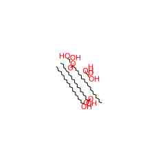 CCCCCCCCCCCCCCCCCCCC(=O)O.CCCCCCCCCCCCCCCCCCCC(=O)O.CCCCCCCCCCCCCCCCCCCC(=O)OCC(O)CO.OCC(O)CO